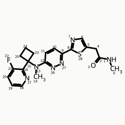 CNC(=O)Cc1cnc(-c2ccc(N(C)C3(c4ncccc4F)CCC3)nn2)s1